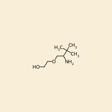 CC(C)(C)C(N)COCCO